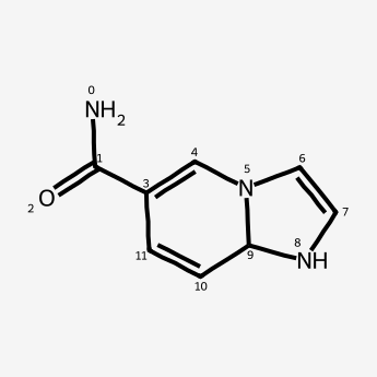 NC(=O)C1=CN2C=CNC2C=C1